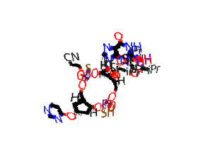 CC(C)C(=O)Nc1nc2c(ncn2[C@@H]2O[C@@H]3CO[P@](=O)(S)O[C@H]4C[C@H](Oc5ccncn5)C[C@@H]4CO[P@@](=S)(OCCC#N)O[C@@H]2[C@@H]3O[Si](O[Si](O)(C(C)C)C(C)C)(C(C)C)C(C)C)c(=O)[nH]1